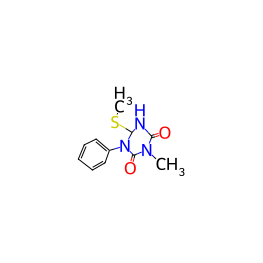 CSC1NC(=O)N(C)C(=O)N1c1ccccc1